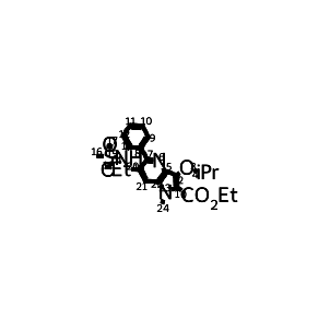 CCOC(=O)c1c(OC(C)C)c2nc(-c3ccccc3NS(C)(=O)=O)c(CC)cc2n1C